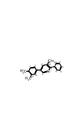 Cc1ccc(-c2cnc(-c3ccccc3)c(C)c2)cc1C